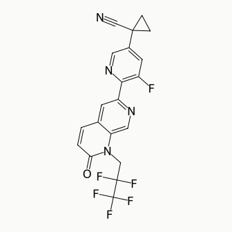 N#CC1(c2cnc(-c3cc4ccc(=O)n(CC(F)(F)C(F)(F)F)c4cn3)c(F)c2)CC1